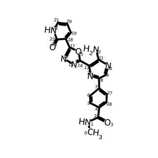 CNC(=O)c1ccc(-c2cnc(N)c(-c3nnc(-c4ccc[nH]c4=O)o3)n2)cc1